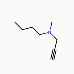 C#CCN(C)CCCC